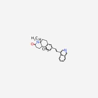 CN1C(=O)CC[C@]2(C)c3ccc(C=Cc4cncc5ccccc45)cc3CC[C@@H]12